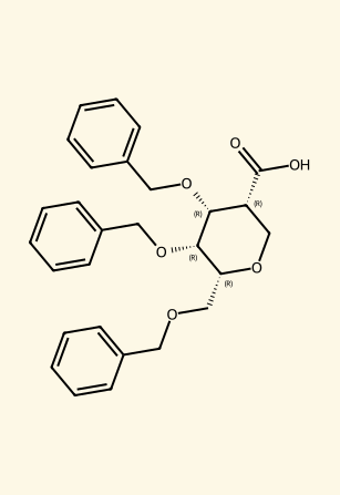 O=C(O)[C@@H]1CO[C@H](COCc2ccccc2)[C@H](OCc2ccccc2)[C@@H]1OCc1ccccc1